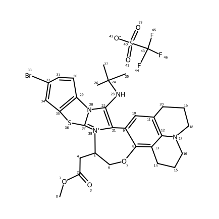 COC(=O)CC1COc2c(cc3c4c2CCCN4CCC3)-c2c(NC(C)(C)C)n3c4ccc(Br)cc4sc3[n+]21.O=S(=O)([O-])C(F)(F)F